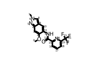 COc1cc2nn(C)cc2cc1NC(=O)c1cccc(C(F)(F)F)n1